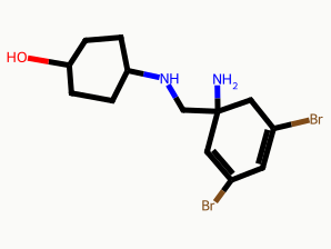 NC1(CNC2CCC(O)CC2)C=C(Br)C=C(Br)C1